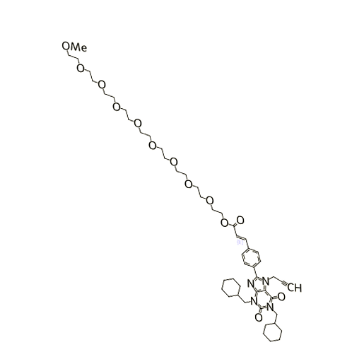 C#CCn1c(-c2ccc(/C=C/C(=O)OCCOCCOCCOCCOCCOCCOCCOCCOCCOC)cc2)nc2c1c(=O)n(CC1CCCCC1)c(=O)n2CC1CCCCC1